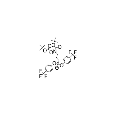 CC(C)(C)OC(=O)ON(CCCP(=O)(Oc1ccc(C(F)(F)F)cc1)Oc1ccc(C(F)(F)F)cc1)C(=O)OC(C)(C)C